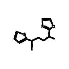 CC(CCC(C)c1cccs1)c1ncco1